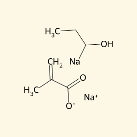 C=C(C)C(=O)[O-].CC[CH](O)[Na].[Na+]